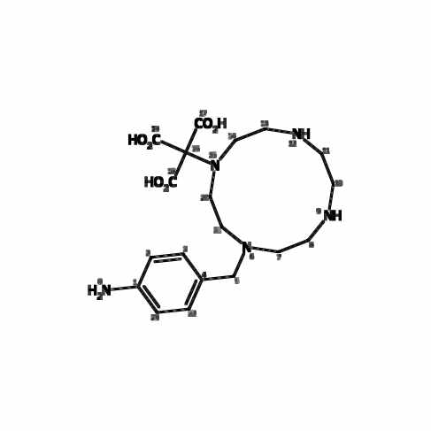 Nc1ccc(CN2CCNCCNCCN(C(C(=O)O)(C(=O)O)C(=O)O)CC2)cc1